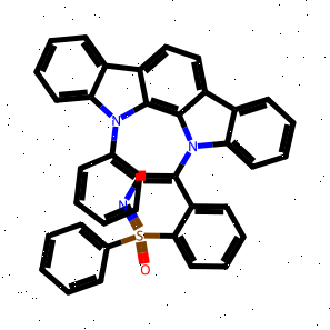 O=S1(c2ccccc2)=NC=C(n2c3ccccc3c3ccc4c5ccccc5n(-c5ccccc5)c4c32)c2ccccc21